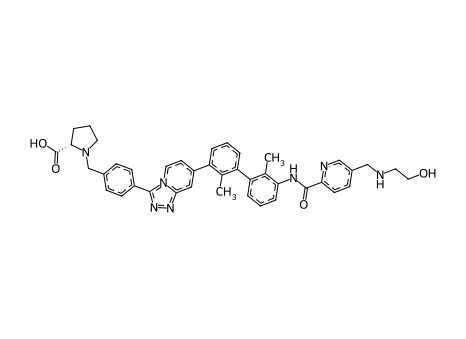 Cc1c(NC(=O)c2ccc(CNCCO)cn2)cccc1-c1cccc(-c2ccn3c(-c4ccc(CN5CCC[C@H]5C(=O)O)cc4)nnc3c2)c1C